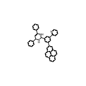 C1=C(c2ccccc2)NC(c2cc(-c3cc4ccc5cccc6ccc(c3)c4c56)cc(-c3ccccn3)c2)NC1c1ccccc1